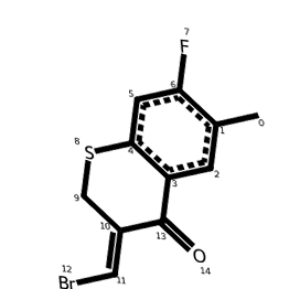 Cc1cc2c(cc1F)SC/C(=C\Br)C2=O